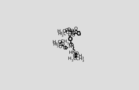 CC(C)(C)OC(=O)NCCCn1cc(-c2ccc(OCC(ON3C(=O)c4ccccc4C3=O)C(=O)OC(C)(C)C)cc2)c[n+]1C[C@@H]1CCN(C(=O)OC(C)(C)C)C1